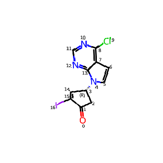 O=C1C[C@@H](n2ccc3c(Cl)ncnc32)C=C1I